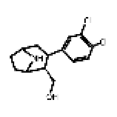 OC[C@H]1C2CCC(CC1c1ccc(Cl)c(Cl)c1)N2